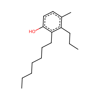 CCCCCCCc1c(O)ccc(C)c1CCC